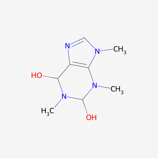 CN1c2c(ncn2C)C(O)N(C)C1O